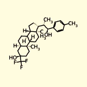 Cc1ccc([C@@H](O)[C@@H](C)[C@H]2CC[C@H]3[C@@H]4CC[C@@H]5C[C@@](O)(C(F)(F)F)CC[C@]5(C)[C@H]4CC[C@]23C)cc1